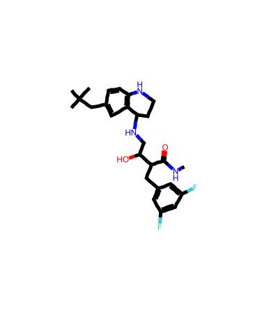 CNC(=O)C(Cc1cc(F)cc(F)c1)C(O)CNC1CCNc2ccc(CC(C)(C)C)cc21